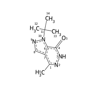 Cc1n[nH]c(=O)c2c1cnn2C(C)(C)C